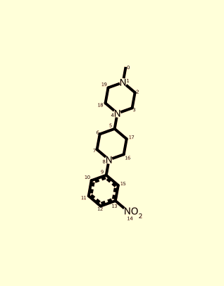 CN1CCN(C2CCN(c3cccc([N+](=O)[O-])c3)CC2)CC1